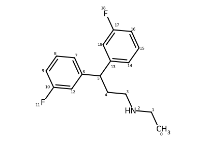 CCNCCC(c1cccc(F)c1)c1cccc(F)c1